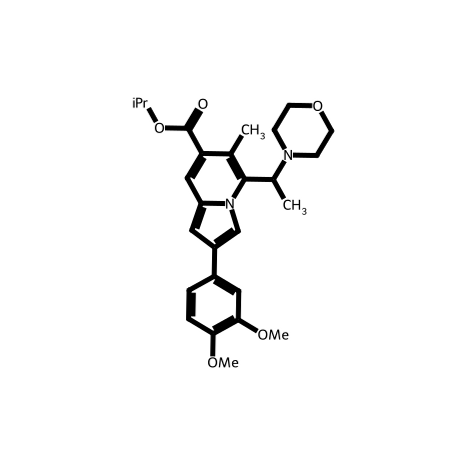 COc1ccc(-c2cc3cc(C(=O)OC(C)C)c(C)c(C(C)N4CCOCC4)n3c2)cc1OC